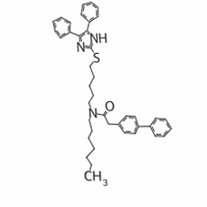 CCCCCCCN(CCCCCSc1nc(-c2ccccc2)c(-c2ccccc2)[nH]1)C(=O)Cc1ccc(-c2ccccc2)cc1